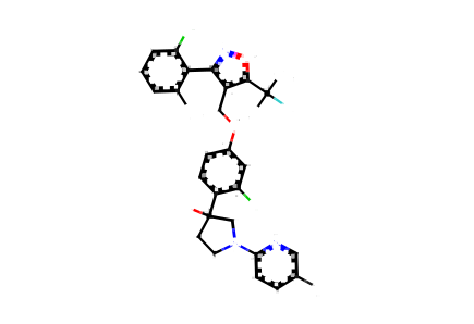 Cc1cccc(Cl)c1-c1noc(C(C)(C)F)c1COc1ccc(C2(O)CCN(c3ccc(C=O)cn3)C2)c(Cl)c1